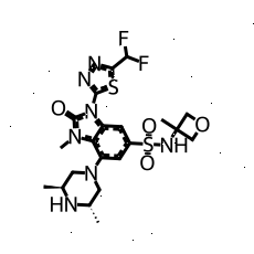 C[C@H]1CN(c2cc(S(=O)(=O)NC3(C)COC3)cc3c2n(C)c(=O)n3-c2nnc(C(F)F)s2)C[C@H](C)N1